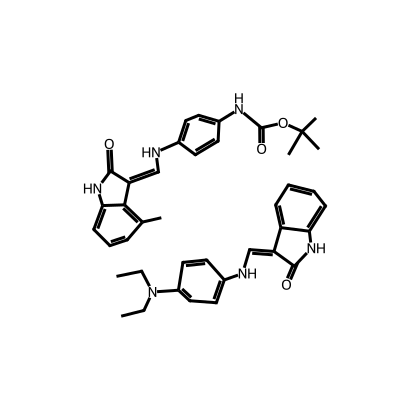 CCN(CC)c1ccc(NC=C2C(=O)Nc3ccccc32)cc1.Cc1cccc2c1C(=CNc1ccc(NC(=O)OC(C)(C)C)cc1)C(=O)N2